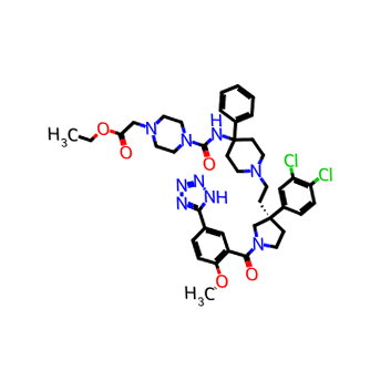 CCOC(=O)CN1CCN(C(=O)NC2(c3ccccc3)CCN(CC[C@]3(c4ccc(Cl)c(Cl)c4)CCN(C(=O)c4cc(-c5nnn[nH]5)ccc4OC)C3)CC2)CC1